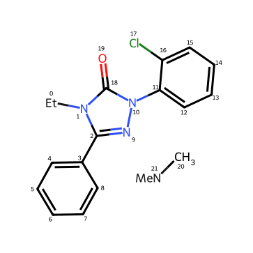 CCn1c(-c2ccccc2)nn(-c2ccccc2Cl)c1=O.CNC